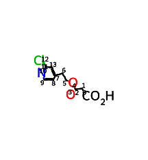 O=C(O)CC(=O)OCCc1ccnc(Cl)c1